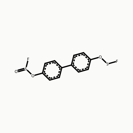 O=S(F)Oc1ccc(-c2ccc(OSF)cc2)cc1